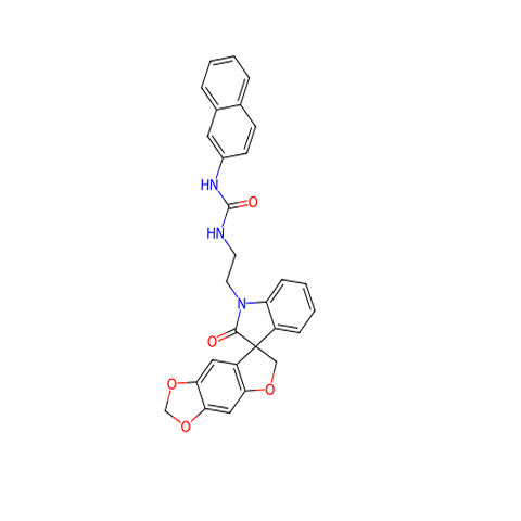 O=C(NCCN1C(=O)C2(COc3cc4c(cc32)OCO4)c2ccccc21)Nc1ccc2ccccc2c1